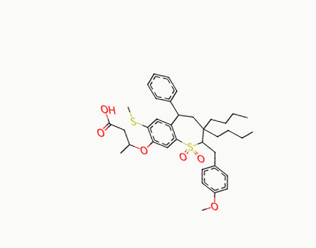 CCCCC1(CCCC)CC(c2ccccc2)c2cc(SC)c(OC(C)CC(=O)O)cc2S(=O)(=O)C1Cc1ccc(OC)cc1